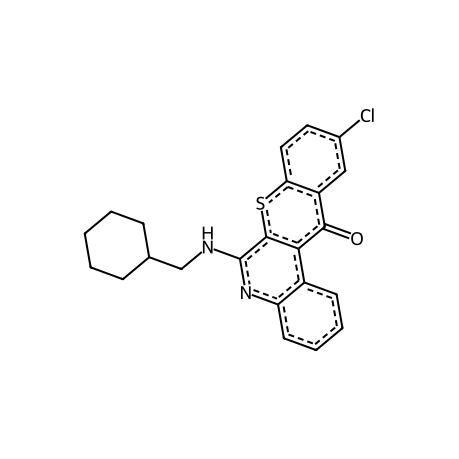 O=c1c2cc(Cl)ccc2sc2c(NCC3CCCCC3)nc3ccccc3c12